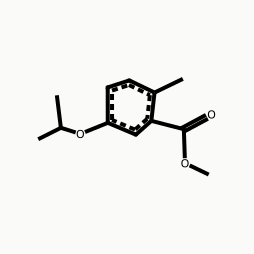 COC(=O)c1cc(OC(C)C)ccc1C